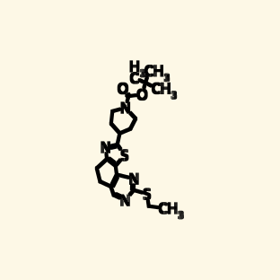 CCSc1ncc2c(n1)-c1sc(C3CCN(C(=O)OC(C)(C)C)CC3)nc1CC2